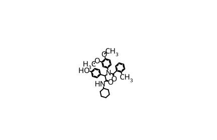 COc1ccc(N(C(=O)c2ccccc2C)C(C(=O)NC2CCCCC2)c2ccc(O)cc2)cc1OC